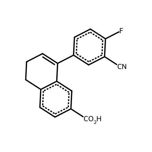 N#Cc1cc(C2=CCCc3ccc(C(=O)O)cc32)ccc1F